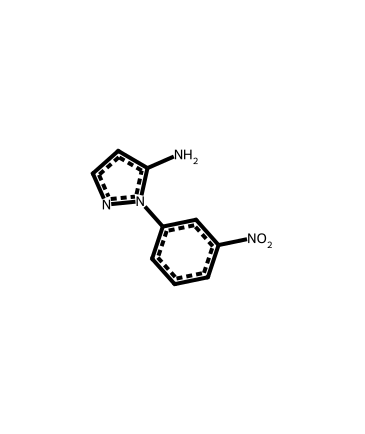 Nc1ccnn1-c1cccc([N+](=O)[O-])c1